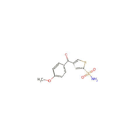 COc1ccc(C(=O)c2csc(S(N)(=O)=O)c2)cc1